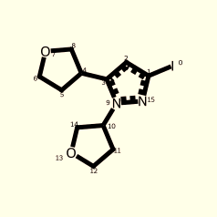 Ic1cc(C2CCOC2)n(C2CCOC2)n1